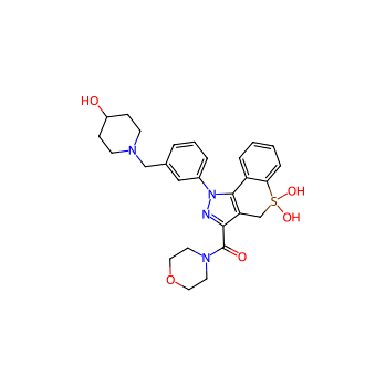 O=C(c1nn(-c2cccc(CN3CCC(O)CC3)c2)c2c1CS(O)(O)c1ccccc1-2)N1CCOCC1